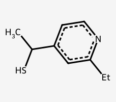 CCc1cc(C(C)S)ccn1